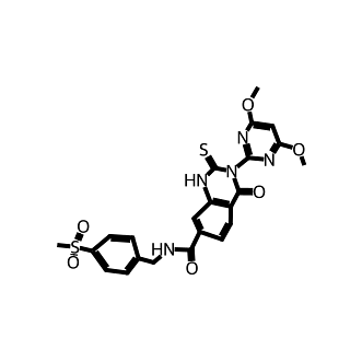 COc1cc(OC)nc(-n2c(=S)[nH]c3cc(C(=O)NCc4ccc(S(C)(=O)=O)cc4)ccc3c2=O)n1